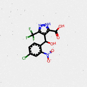 O=C(O)c1[nH]nc(C(F)(F)F)c1C(O)c1ccc(Cl)cc1[N+](=O)[O-]